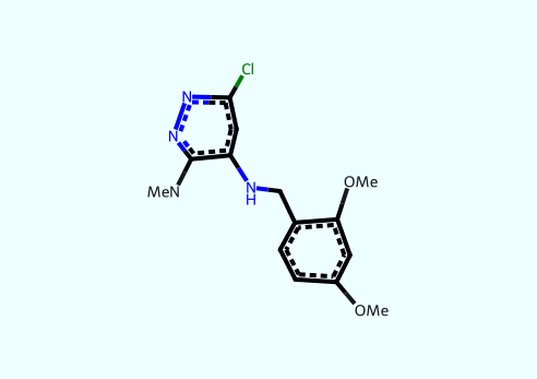 CNc1nnc(Cl)cc1NCc1ccc(OC)cc1OC